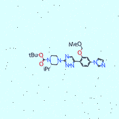 COCOc1cc(-n2ccnc2)ccc1-c1cnc(N2CCN(C(=O)OC(C)(C)C)[C@@H](C(C)C)C2)nn1